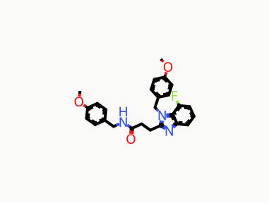 COc1ccc(CNC(=O)CCc2nc3cccc(F)c3n2Cc2ccc(OC)cc2)cc1